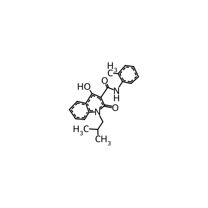 Cc1ccccc1NC(=O)c1c(O)c2ccccc2n(CC(C)C)c1=O